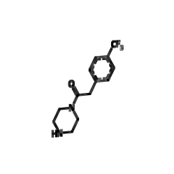 O=C(Cc1ccc(C(F)(F)F)cc1)N1CCNCC1